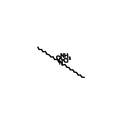 CCCCCCCCCCCCN(CCCCCCCCCCCC)C(Cl)C(N)=O